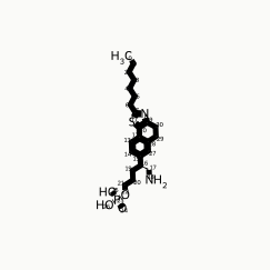 CCCCCCCc1nc2c(s1)-c1ccc([C@H](CN)CCCOP(=O)(O)O)cc1CC2